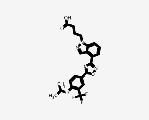 CC(C)Oc1ccc(-c2nc(-c3cccc4c3cnn4CCCC(=O)O)no2)cc1C(F)(F)F